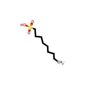 [CH2]CCCCCCCCS(=O)(=O)O